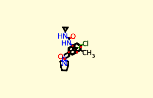 Cc1cc(C=CC(=O)N2C3CCC2CN(Cc2ccc(F)cc2)C3)c(NC(=O)NC2CC2)cc1Cl